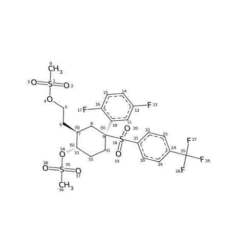 CS(=O)(=O)OCC[C@H]1C[C@@](c2cc(F)ccc2F)(S(=O)(=O)c2ccc(C(F)(F)F)cc2)CC[C@@H]1OS(C)(=O)=O